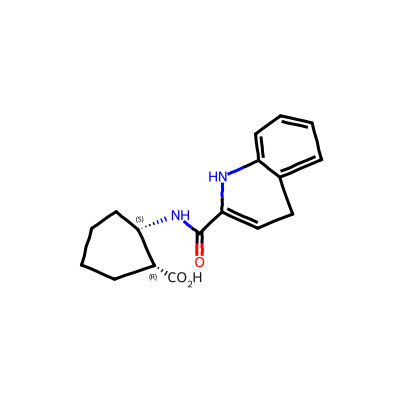 O=C(N[C@H]1CCCC[C@H]1C(=O)O)C1=CCc2ccccc2N1